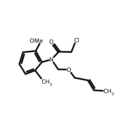 CC=CCOCN(C(=O)CCl)c1c(C)cccc1OC